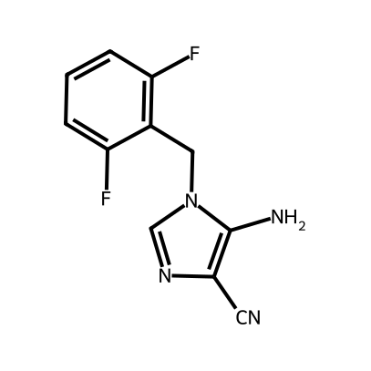 N#Cc1ncn(Cc2c(F)cccc2F)c1N